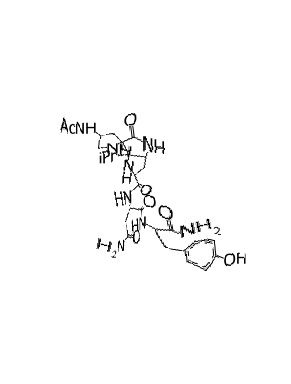 CC(=O)NC1CNC2(C1)C(=O)NC1CC(C(=O)NC(CC(N)=O)C(=O)NC(Cc3ccc(O)cc3)C(N)=O)NC12C(C)C